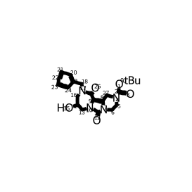 CC(C)(C)OC(=O)N1CCn2c(c3n(c2=O)CC(O)CN(Cc2ccccc2)C3=O)C1